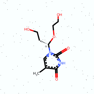 Cc1cn([C@H](CCO)OCCO)c(=O)[nH]c1=O